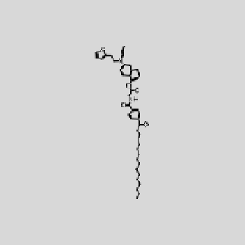 CCCCCCCCCCCCCCCC(=O)c1ccc(C(=O)NCC(=O)Oc2cccc3c2CC[C@H](N(CCC)CCc2cccs2)C3)cc1